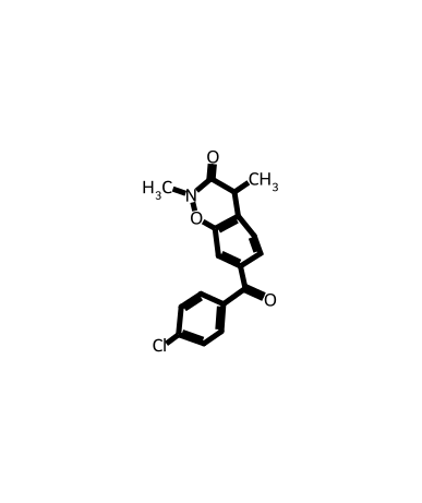 CC1C(=O)N(C)Oc2cc(C(=O)c3ccc(Cl)cc3)ccc21